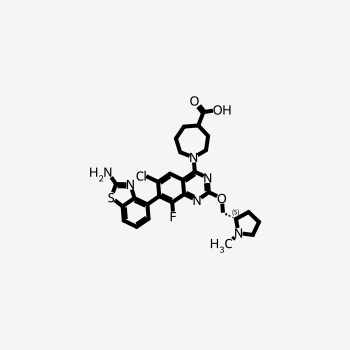 CN1CCC[C@H]1COc1nc(N2CCCC(C(=O)O)CC2)c2cc(Cl)c(-c3cccc4sc(N)nc34)c(F)c2n1